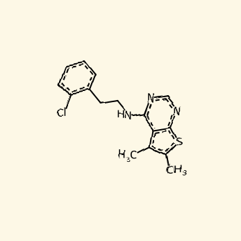 Cc1sc2ncnc(NCCc3ccccc3Cl)c2c1C